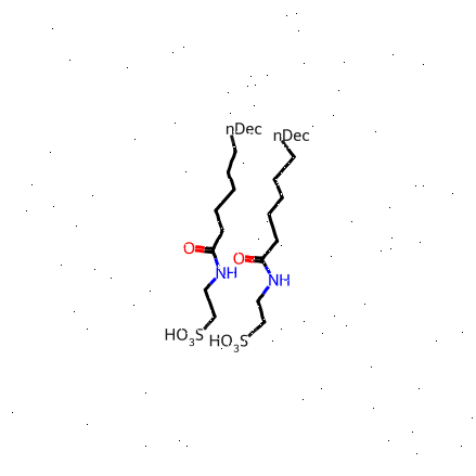 CCCCCCCCCCCCCCCC(=O)NCCS(=O)(=O)O.CCCCCCCCCCCCCCCC(=O)NCCS(=O)(=O)O